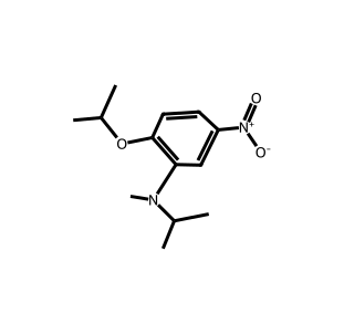 CC(C)Oc1ccc([N+](=O)[O-])cc1N(C)C(C)C